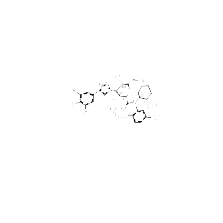 CO[C@@H]1[C@@H](n2cc(-c3cc(F)c(F)c(F)c3)nn2)[C@@H](O)[C@@H](CO)O[C@H]1C(=O)N(c1cc(Cl)ccc1C)[C@H]1CCCC[C@@H]1O